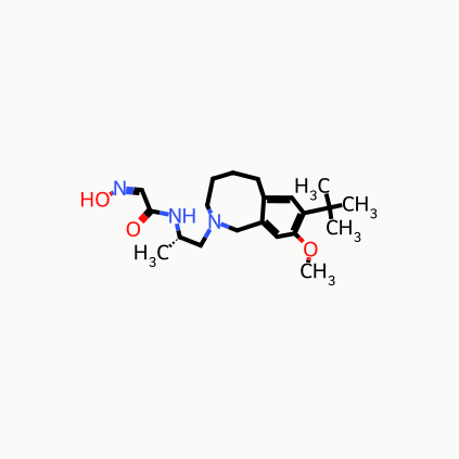 COc1cc2c(cc1C(C)(C)C)CCCCN(C[C@H](C)NC(=O)/C=N\O)C2